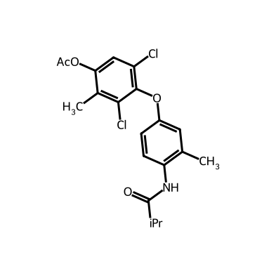 CC(=O)Oc1cc(Cl)c(Oc2ccc(NC(=O)C(C)C)c(C)c2)c(Cl)c1C